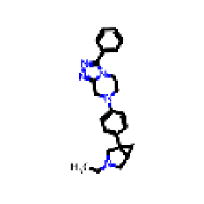 CCN1CC2CC2(c2ccc(N3CCn4c(nnc4-c4ccccc4)C3)cc2)C1